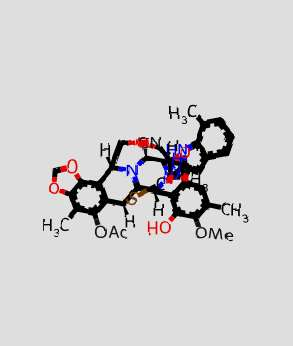 COc1c(C)cc2c(c1O)[C@@H]1C3[C@@H]4SC[C@]5(NCCc6c5[nH]c5c(C)cccc65)C(=O)COC[C@@H](c5c6c(c(C)c(OC(C)=O)c54)OCO6)N3[C@@H](C#N)[C@H](C2)N1C